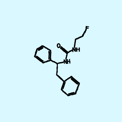 O=C(NCCF)NC(Cc1ccccc1)c1ccccc1